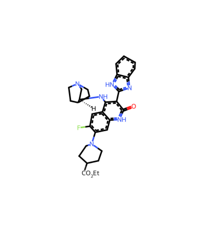 CCOC(=O)C1CCN(c2cc3[nH]c(=O)c(-c4nc5ccccc5[nH]4)c(N[C@@H]4CN5CCC4CC5)c3cc2F)CC1